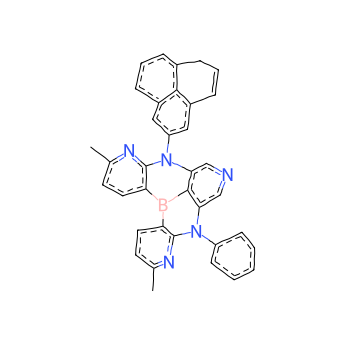 Cc1ccc2c(n1)N(c1ccccc1)c1cncc3c1B2c1ccc(C)nc1N3c1cc2c3c(cccc3c1)CC=C2